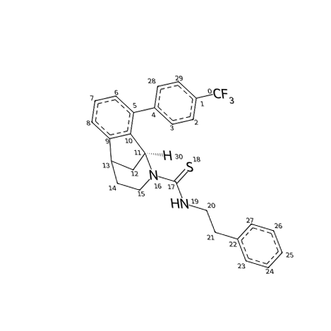 FC(F)(F)c1ccc(-c2cccc3c2[C@@H]2CC3CCN2C(=S)NCCc2ccccc2)cc1